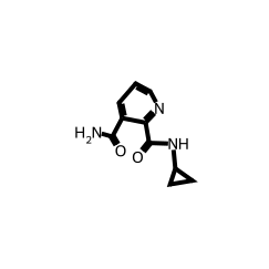 NC(=O)c1cccnc1C(=O)NC1CC1